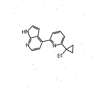 CCC1(c2cccc(-c3ccnc4[nH]ccc34)n2)CC1